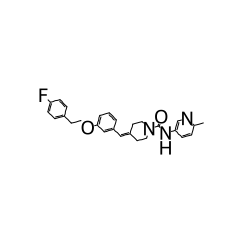 Cc1ccc(NC(=O)N2CCC(=Cc3cccc(OCCc4ccc(F)cc4)c3)CC2)cn1